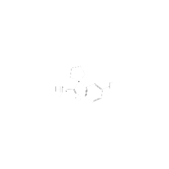 CNC(=O)C1(c2cccc(F)c2)CCCC1